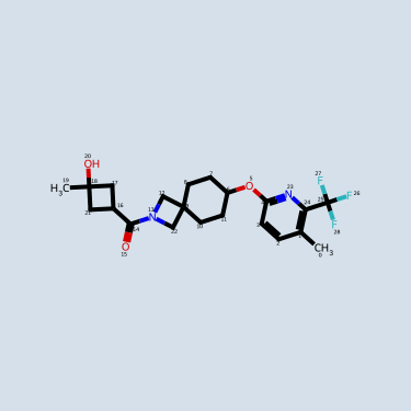 Cc1ccc(OC2CCC3(CC2)CN(C(=O)C2CC(C)(O)C2)C3)nc1C(F)(F)F